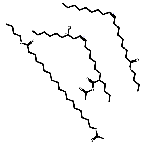 CCCCCCCC/C=C\CCCCCCCC(=O)OCCCC.CCCCCC[C@@H](O)C/C=C\CCCCCCC(CCCC)C(=O)OC(C)=O.CCCCOC(=O)CCCCCCCCCCCCCCCCCOC(C)=O